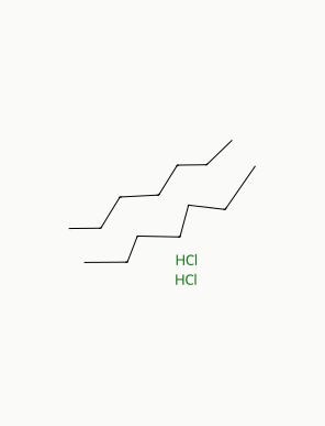 CCCCCCC.CCCCCCC.Cl.Cl